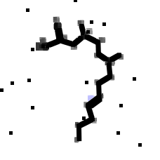 CCC/C=C/CCN(C)CCN(C)CC(=O)O